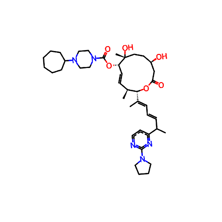 C/C(=C\C=C\C(C)c1ccnc(N2CCCC2)n1)[C@H]1OC(=O)C[C@H](O)CC[C@@](C)(O)[C@@H](OC(=O)N2CCN(C3CCCCCC3)CC2)/C=C/[C@@H]1C